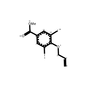 C=CCOc1c(I)cc(C(=O)OC)cc1I